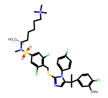 COc1cc(C(C)(C)c2cnc(SCc3c(F)cc(S(=O)(=O)N(C)[C@@H](CCCCC[N+](C)(C)C)C(=O)O)cc3Cl)n2-c2ccc(F)cc2)ccc1Cl